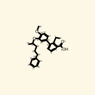 CCc1c(C(=O)O)cccc1-c1ccc(OC)c(OC(C)CCCc2ccccc2)c1